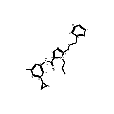 CCCn1c(CCCc2ccccc2)ccc1C(=O)Nc1cc(C)cc(C2CC2)c1